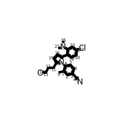 Cc1cc(C#N)ccc1-n1c(CCC=O)ccc1-c1ccc(Cl)cc1N(C)C